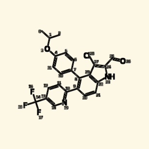 CC(C)Oc1ccc(-c2c(-c3ccc(C(F)(F)F)cn3)ccc3[nH]c(C=O)c(Cl)c23)cc1